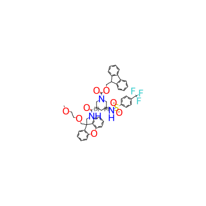 COCCOCC1(CNC(=O)[C@H]2C[C@@H](NS(=O)(=O)c3ccc(C(F)(F)F)cc3)CN(C(=O)OCC3c4ccccc4-c4ccccc43)C2)c2ccccc2Oc2ccccc21